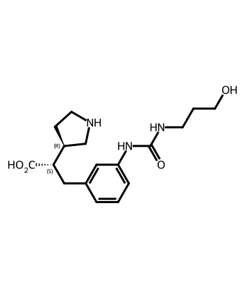 O=C(NCCCO)Nc1cccc(C[C@H](C(=O)O)[C@H]2CCNC2)c1